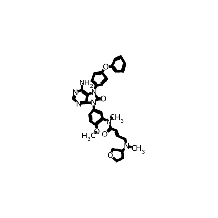 COc1ccc(-n2c(=O)n(-c3ccc(Oc4ccccc4)cc3)c3c(N)ncnc32)cc1N(C)C(=O)C=CCN(C)C1CCOC1